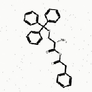 N[C@@H](CSC(c1ccccc1)(c1ccccc1)c1ccccc1)C(=O)OC(=O)Cc1ccccc1